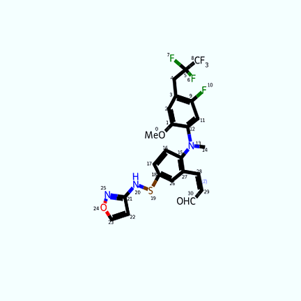 COc1cc(CC(F)(F)C(F)(F)F)c(F)cc1N(C)c1ccc(SNc2ccon2)cc1/C=C\C=O